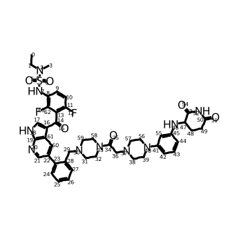 CCN(C)S(=O)(=O)Nc1ccc(F)c(C(=O)c2c[nH]c3ncc(-c4ccccc4CN4CCN(C(=O)CN5CCN(c6cccc(NC7CCC(=O)NC7=O)c6)CC5)CC4)cc23)c1F